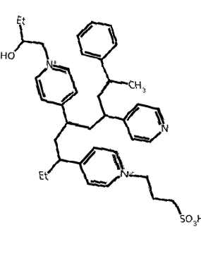 CCC(O)C[n+]1ccc(C(CC(CC)c2cc[n+](CCCS(=O)(=O)O)cc2)CC(CC(C)c2ccccc2)c2ccncc2)cc1